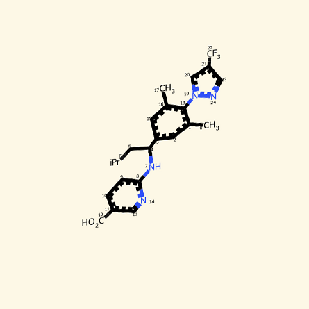 Cc1cc(C(CC(C)C)Nc2ccc(C(=O)O)cn2)cc(C)c1-n1cc(C(F)(F)F)cn1